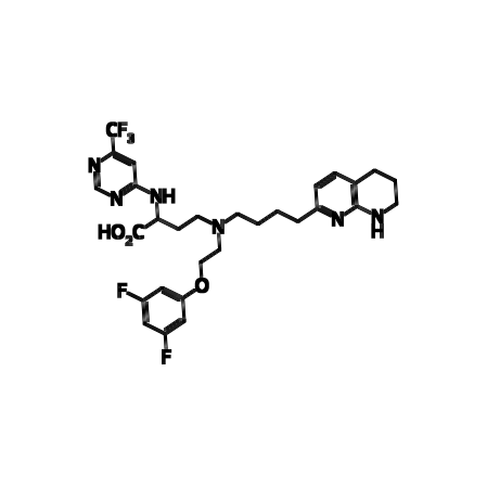 O=C(O)C(CCN(CCCCc1ccc2c(n1)NCCC2)CCOc1cc(F)cc(F)c1)Nc1cc(C(F)(F)F)ncn1